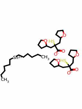 CCCCC[CH2][Sn+2][CH2]CCCCC.O=C([O-])C(S)(CC1CCCO1)CC1CCCO1.O=C([O-])C(S)(CC1CCCO1)CC1CCCO1